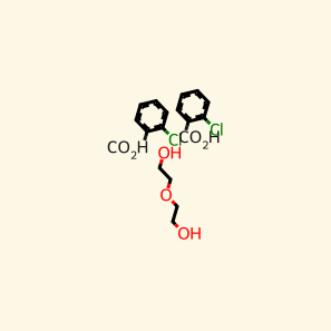 O=C(O)c1ccccc1Cl.O=C(O)c1ccccc1Cl.OCCOCCO